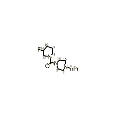 CCCN1CCN(C(=O)N2CCCC(F)C2)CC1